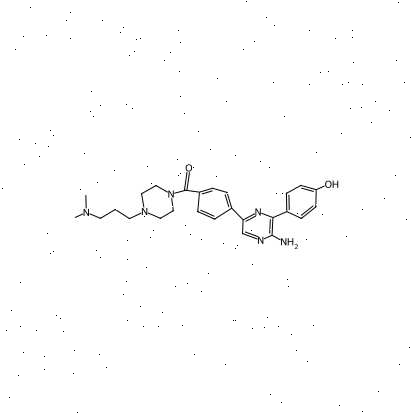 CN(C)CCCN1CCN(C(=O)c2ccc(-c3cnc(N)c(-c4ccc(O)cc4)n3)cc2)CC1